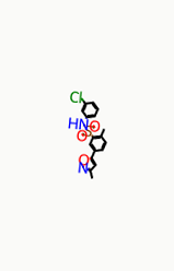 Cc1cc(-c2ccc(C)c(S(=O)(=O)Nc3cccc(Cl)c3)c2)on1